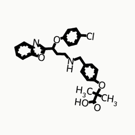 CC(C)(Oc1ccc(CNCCC(Oc2ccc(Cl)cc2)c2nc3ccccc3o2)cc1)C(=O)O